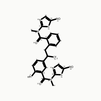 CCCc1ccc(C(Cc2ccccc2C(=O)N(C)c2ncc(N=O)s2)C(F)(F)F)cc1C(=O)N(C)c1ncc(N=O)s1